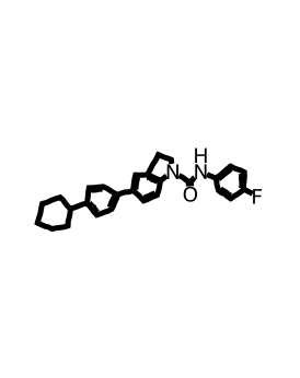 O=C(Nc1ccc(F)cc1)N1CCc2cc(-c3ccc(C4CCCCC4)cc3)ccc21